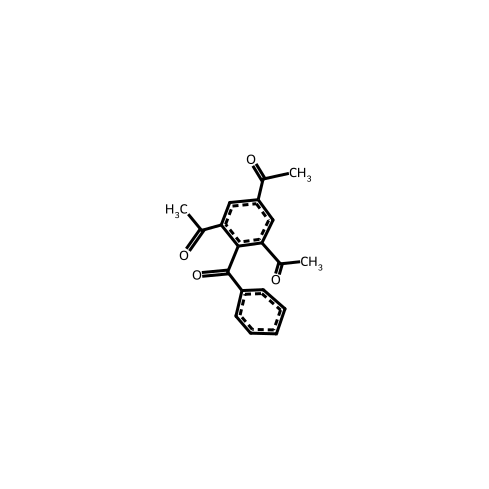 CC(=O)c1cc(C(C)=O)c(C(=O)c2ccccc2)c(C(C)=O)c1